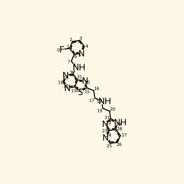 Fc1cccnc1CNc1ncnc2sc(CCNCCc3nc4ncccc4[nH]3)nc12